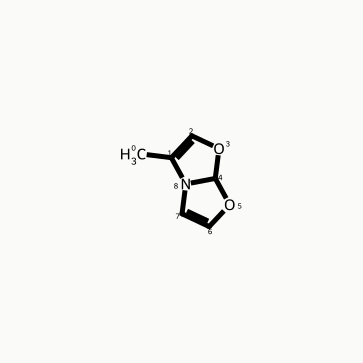 CC1=COC2OC=CN12